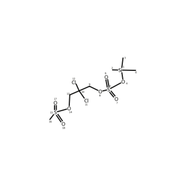 C[Si](C)(C)OS(=O)(=O)OCC(Cl)(Cl)COS(C)(=O)=O